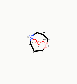 C1CB2CCCN(C1)OOO2